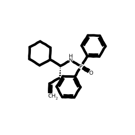 C=CC[C@@H](NP(=O)(c1ccccc1)c1ccccc1)C1CCCCC1